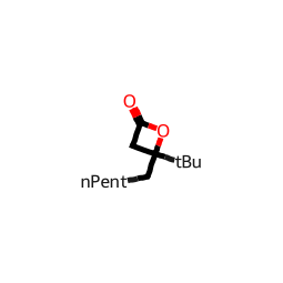 CCCCCCC1(C(C)(C)C)CC(=O)O1